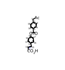 CC(=O)Cc1ccc(C(=O)Oc2ccc(/C=C/C(=O)O)cc2)cc1